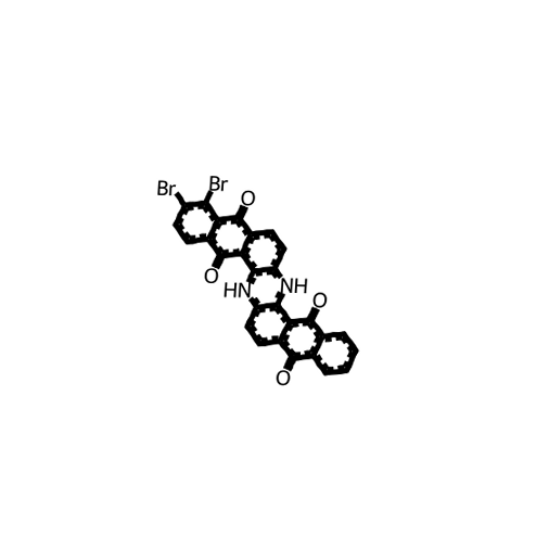 O=c1c2ccccc2c(=O)c2c1ccc1[nH]c3c(ccc4c(=O)c5c(Br)c(Br)ccc5c(=O)c43)[nH]c12